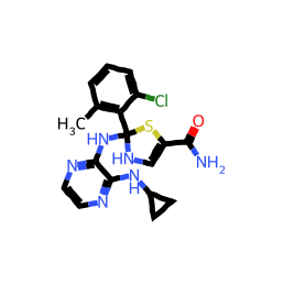 Cc1cccc(Cl)c1C1(Nc2nccnc2NC2CC2)NC=C(C(N)=O)S1